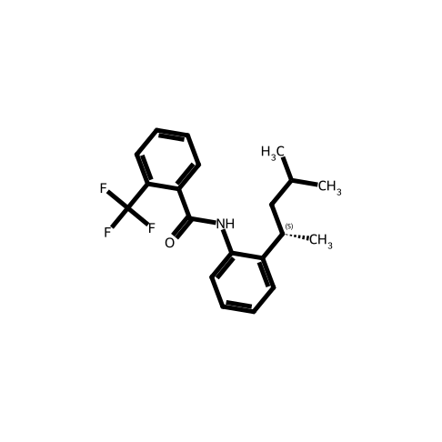 CC(C)C[C@H](C)c1ccccc1NC(=O)c1ccccc1C(F)(F)F